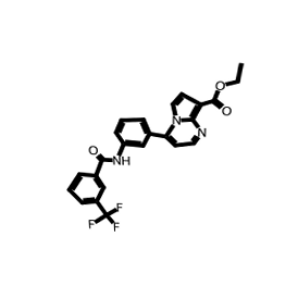 CCOC(=O)c1ccn2c(-c3cccc(NC(=O)c4cccc(C(F)(F)F)c4)c3)ccnc12